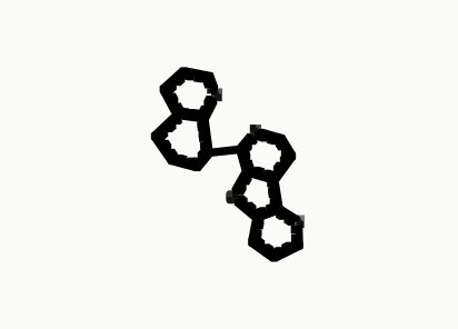 c1cnc2c(-c3nccc4c3oc3cccnc34)cccc2c1